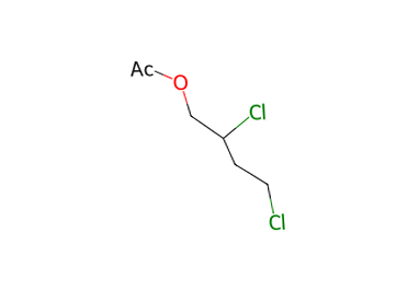 CC(=O)OCC(Cl)CCCl